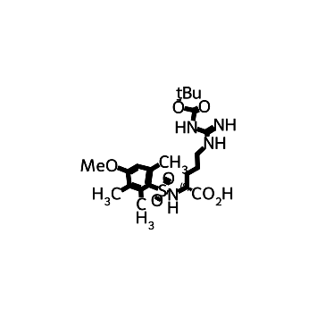 COc1cc(C)c(S(=O)(=O)N[C@@H](CCCNC(=N)NC(=O)OC(C)(C)C)C(=O)O)c(C)c1C